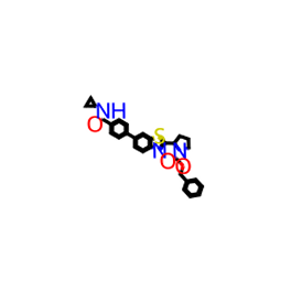 O=C(NC1CC1)c1ccc(-c2ccc3nc(C4CCCN4C(=O)OCc4ccccc4)sc3c2)cc1